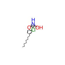 CCCCCCCCc1ccc(O[C@H]2CN[C@@H](CO)C2)c(Cl)c1